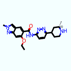 CCOc1cc2nn(C)cc2cc1C(=O)Nc1ccc(C2CCN[C@@H](C)C2)nn1